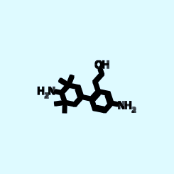 CC1(C)C=C(c2ccc(N)cc2CCO)CC(C)(C)C1N